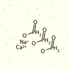 O=[PH2][O-].O=[PH2][O-].O=[PH2][O-].[Ca+2].[Na+]